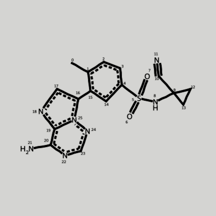 Cc1ccc(S(=O)(=O)NC2(C#N)CC2)cc1-c1cnc2c(N)ncnn12